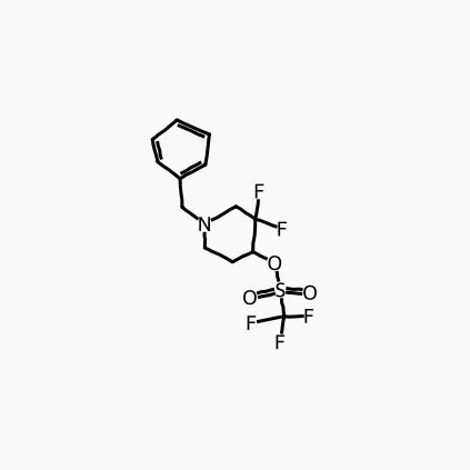 O=S(=O)(OC1CCN(Cc2ccccc2)CC1(F)F)C(F)(F)F